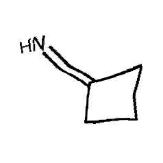 N=C1CCC1